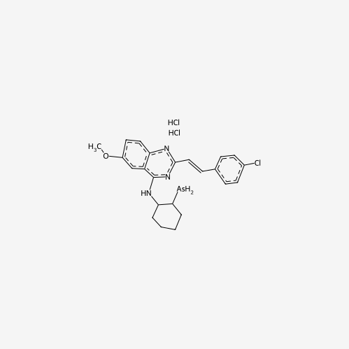 COc1ccc2nc(/C=C/c3ccc(Cl)cc3)nc(NC3CCCCC3[AsH2])c2c1.Cl.Cl